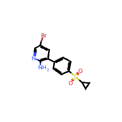 Nc1ncc(Br)cc1-c1ccc(S(=O)(=O)C2CC2)cc1